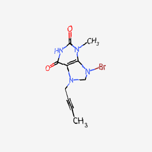 CC#CCN1CN(Br)c2c1c(=O)[nH]c(=O)n2C